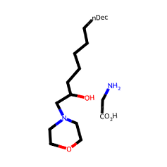 CCCCCCCCCCCCCCCC(O)CN1CCOCC1.NCC(=O)O